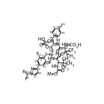 COC(=O)NC(C(=O)NN(Cc1c(F)cc(-c2ccn(C(F)F)n2)cc1F)CC(OP(=O)(O)O)C(Cc1ccc(I)cc1)NC(=O)C(NC(=O)O)C(C)(C)C(F)(F)F)C(C)(C)C(F)(F)F